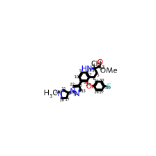 COC(=O)[C@]1(C)CCc2c(ccc(-c3cnn(C4CCN(C)C4)c3)c2Oc2ccc(F)cc2)N1